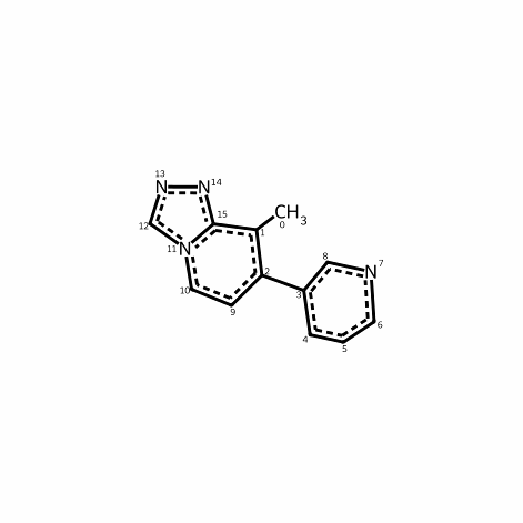 Cc1c(-c2cccnc2)ccn2cnnc12